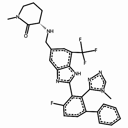 CN1CCC[C@H](NCc2cc(C(F)(F)F)c3[nH]c(-c4c(F)ccc(-c5ccccc5)c4-c4nncn4C)nc3c2)C1=O